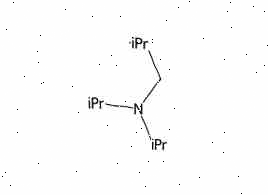 C[C](C)CN(C(C)C)C(C)C